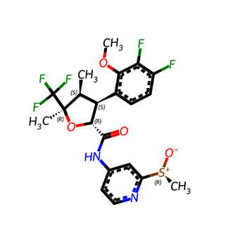 COc1c([C@H]2[C@H](C(=O)Nc3ccnc([S@+](C)[O-])c3)O[C@@](C)(C(F)(F)F)[C@H]2C)ccc(F)c1F